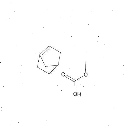 C1=C2CCC(C1)C2.COC(=O)O